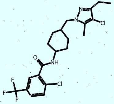 CCc1nn(CC2CCC(NC(=O)c3cc(C(F)(F)F)ccc3Cl)CC2)c(C)c1Cl